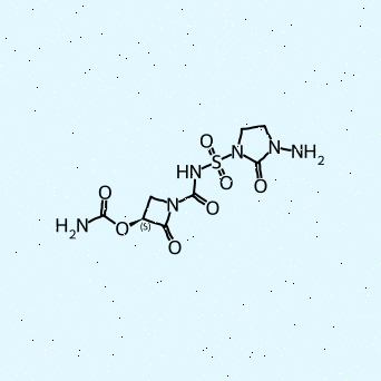 NC(=O)O[C@H]1CN(C(=O)NS(=O)(=O)N2CCN(N)C2=O)C1=O